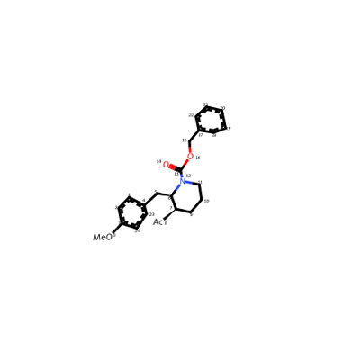 COc1ccc(C[C@@H]2[C@H](C(C)=O)CCCN2C(=O)OCc2ccccc2)cc1